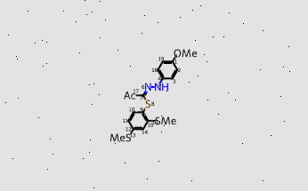 COc1ccc(NN=C(Sc2ccc(SC)cc2SC)C(C)=O)cc1